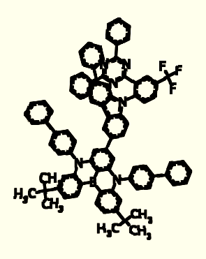 CC(C)(C)c1ccc2c(c1)N(c1ccc(-c3ccccc3)cc1)c1cc(-c3ccc4c(c3)c3ccc(-c5ccccc5)cc3n4-c3ccc(C(F)(F)F)cc3-c3nc(-c4ccccc4)nc(-c4ccccc4)n3)cc3c1B2c1ccc(C(C)(C)C)cc1N3c1ccc(-c2ccccc2)cc1